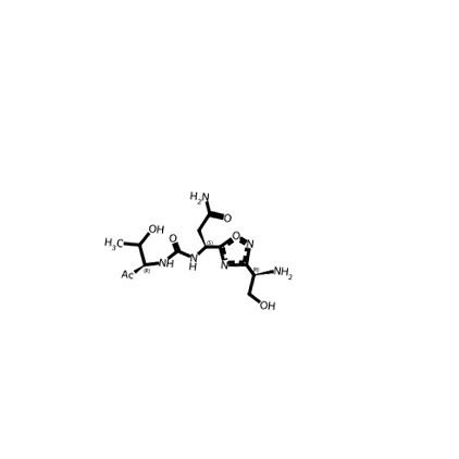 CC(=O)[C@H](NC(=O)N[C@@H](CC(N)=O)c1nc([C@@H](N)CO)no1)C(C)O